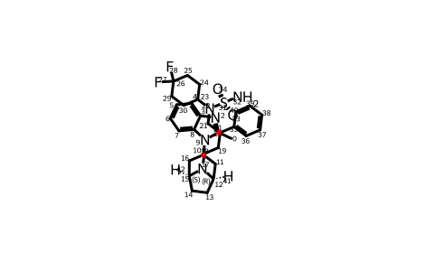 Cc1nc2ccccc2n1C1C[C@H]2CC[C@@H](C1)N2CCC(CN(C1CCC(F)(F)CC1)S(N)(=O)=O)c1ccccc1